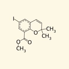 COC(=O)c1cc(I)cc2c1OC(C)(C)C=C2